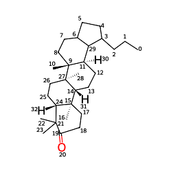 CCCC1CCC2CC[C@]3(C)[C@H](CC[C@@H]4[C@@]5(C)CCC(=O)C(C)(C)[C@@H]5CC[C@]43C)C12